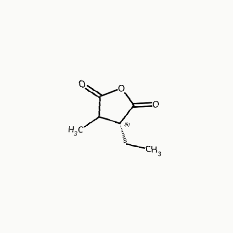 CC[C@H]1C(=O)OC(=O)C1C